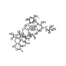 CC(=O)NC1C(O)CC(OP(=O)(O)OCC2OC(n3ccc(N)nc3=O)C(O)C2O)(C(=O)O)OC1[C@H](O)[C@H](O)CNC(=O)CO[C@H]1OC(COP(=O)(O)O)[C@@H](O)[C@H](O)C1O